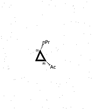 CCC[C@H]1C[C@H]1C(C)=O